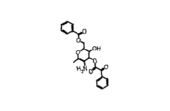 CC1OC(COC(=O)c2ccccc2)C(O)C(OC(=O)C(=O)c2ccccc2)C1N